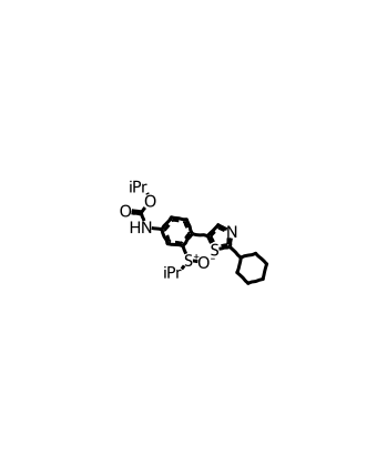 CC(C)OC(=O)Nc1ccc(-c2cnc(C3CCCCC3)s2)c([S+]([O-])C(C)C)c1